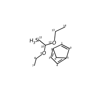 C1=CC2=CC=C1C2.CCOC([SiH3])OCC